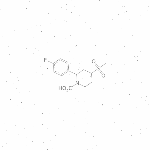 CS(=O)(=O)C1CCN(C(=O)O)C(c2ccc(F)cc2)C1